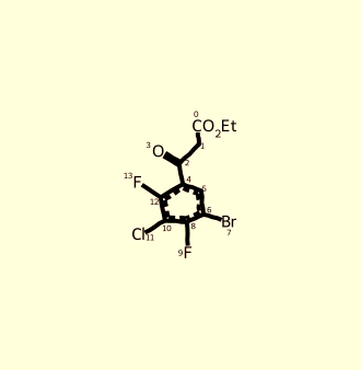 CCOC(=O)CC(=O)c1cc(Br)c(F)c(Cl)c1F